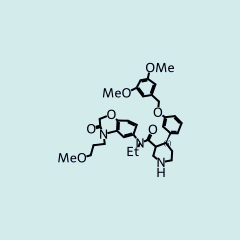 CCN(C(=O)C1CNCC[C@@H]1c1cccc(OCc2cc(OC)cc(OC)c2)c1)c1ccc2c(c1)N(CCCOC)C(=O)CO2